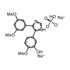 COc1cc(OC)cc(-c2nc[nH]c2-c2ccc(OC)c(O)c2)c1.O=P([O-])([O-])O.[Na+].[Na+]